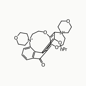 CCCOc1c2c3c4c(c1[N+]1(CCOCC1)CCO4)OCC[N+]1(CCOCC1)c1cccc(c1-2)C3=O